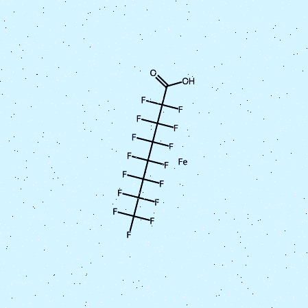 O=C(O)C(F)(F)C(F)(F)C(F)(F)C(F)(F)C(F)(F)C(F)(F)C(F)(F)F.[Fe]